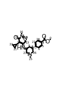 COC(=O)c1ccc([C@H]2C[C@@H](Nc3cnn(C)c(=O)c3C3CC3)CN(C)C2)cc1